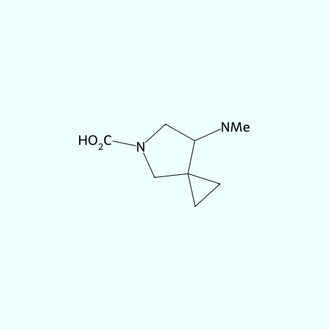 CNC1CN(C(=O)O)CC12CC2